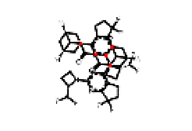 O=C(CC1[C@@H]2C[C@H]1CN(c1nc(N3CC[C@@H]3C(F)F)nc3c1CCC3(F)F)C2)OC(=O)CC1[C@@H]2C[C@H]1CN(c1nc(N3CC[C@H]3C(F)F)nc3c1CCC3(F)F)C2